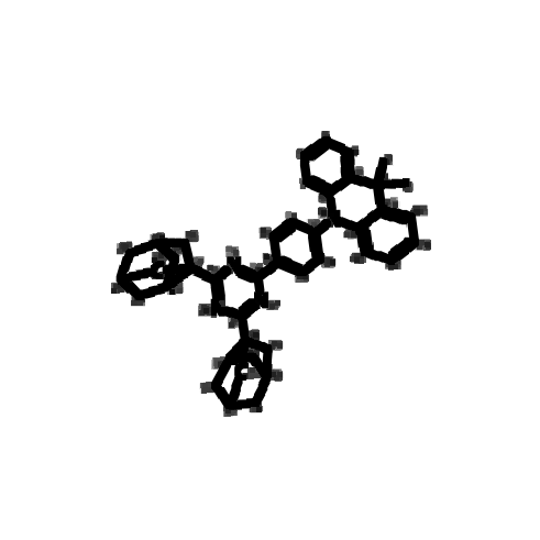 CC1(C)c2ccccc2N(c2ccc(-c3nc(C45CC6CC(CC4C6)C5)nc(C45CC6CC(CC4C6)C5)n3)cc2)c2ccccc21